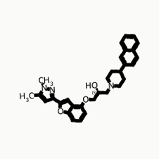 Cc1cc(-c2cc3c(OC[C@@H](O)CN4CCC(c5ccc6ccccc6c5)CC4)cccc3o2)nn1C